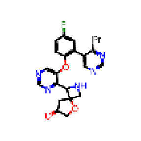 CC(C)c1ncncc1-c1cc(F)ccc1Oc1cncnc1C1NCC12CC(=O)CO2